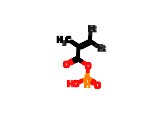 CCC(CC)=C(C)C(=O)O[PH](=O)O